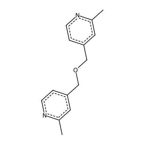 Cc1cc(COCc2ccnc(C)c2)ccn1